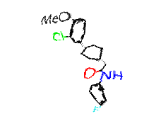 COc1ccc([C@H]2CC[C@@H](CC(=O)Nc3ccc(F)cc3)CC2)cc1Cl